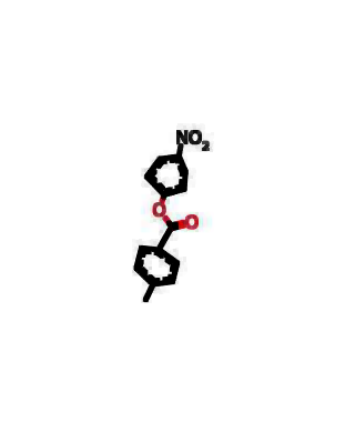 Cc1ccc(C(=O)Oc2ccc([N+](=O)[O-])cc2)cc1